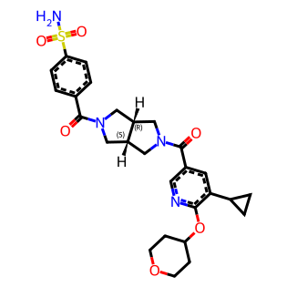 NS(=O)(=O)c1ccc(C(=O)N2C[C@@H]3CN(C(=O)c4cnc(OC5CCOCC5)c(C5CC5)c4)C[C@@H]3C2)cc1